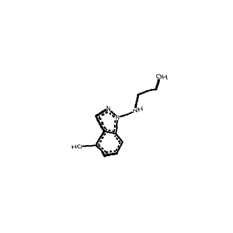 OCCNn1ncc2c(O)cccc21